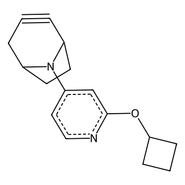 C1#CC2CCC(C1)N2c1ccnc(OC2CCC2)c1